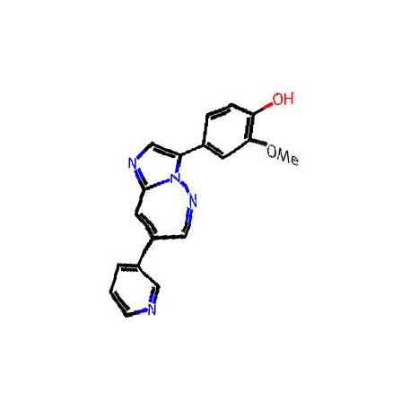 COc1cc(-c2cnc3cc(-c4cccnc4)cnn23)ccc1O